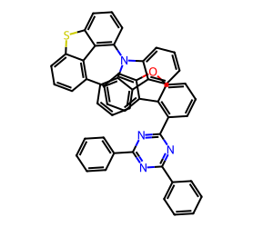 c1ccc(-c2nc(-c3ccccc3)nc(-c3cccc4oc5cc(-c6cccc7sc8cccc(-n9c%10ccccc%10c%10ccccc%109)c8c67)ccc5c34)n2)cc1